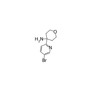 NC1(c2ccc(Br)cn2)CCOCC1